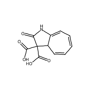 O=C(O)C1(C(=O)O)C(=O)NC2=CC=CC=CC21